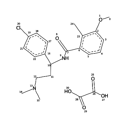 COc1cccc(C(=O)NC(CCN(C)C)c2ccc(Cl)cc2)c1C.O=C(O)C(=O)O